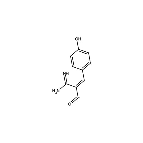 N=C(N)/C([C]=O)=C\c1ccc(O)cc1